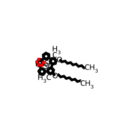 CCCCCCCCCCOc1cc2c(cc1C)[Si](c1ccccc1)(c1ccccc1)[Si](c1ccccc1)(c1ccccc1)c1cc(C)c(OCCCCCCCCCC)cc1-2